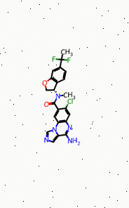 CN(C(=O)c1cc2c(cc1Cl)nc(N)c1cncn12)[C@@H]1COc2cc(C(C)(F)F)ccc21